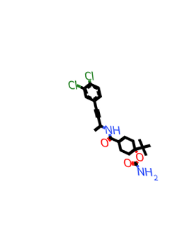 CC(C#Cc1ccc(Cl)c(Cl)c1)NC(=O)C1CCC(OC(N)=O)(C(C)(C)C)CC1